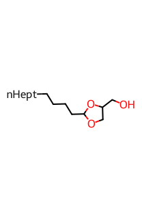 CCCCCCCCCCCC1OCC(CO)O1